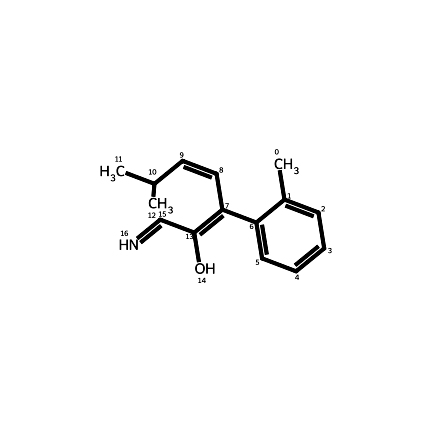 Cc1ccccc1C(/C=C\C(C)C)=C(\O)C=N